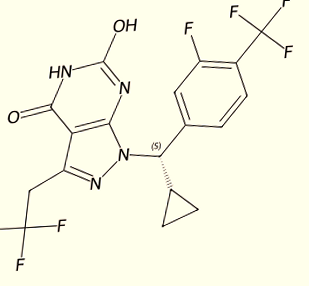 O=c1[nH]c(O)nc2c1c(CC(F)(F)F)nn2[C@H](c1ccc(C(F)(F)F)c(F)c1)C1CC1